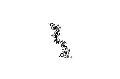 Cc1ccc(NC(=O)Nc2ncc(S(=O)(=O)c3nc(C(=O)OC(=O)c4cn(C)c(S(=O)(=O)c5cnc(NC(=O)Nc6ccc(C)cc6OCC(C)C)s5)n4)c[nH]3)s2)c(OCC(C)C)c1